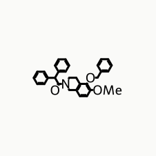 COc1ccc2c(c1OCc1ccccc1)CCN(C(=O)C(c1ccccc1)c1ccccc1)C2